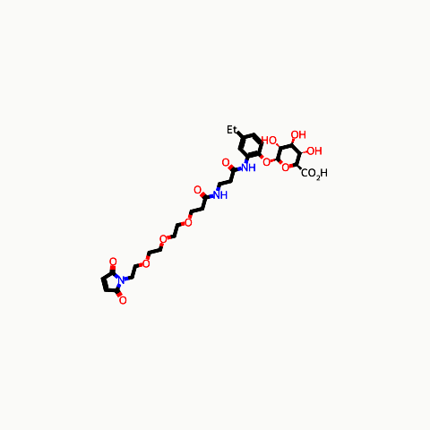 CCc1ccc(O[C@@H]2O[C@H](C(=O)O)[C@@H](O)[C@H](O)[C@H]2O)c(NC(=O)CCNC(=O)CCOCCOCCOCCN2C(=O)C=CC2=O)c1